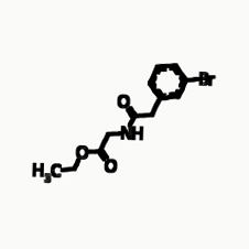 CCOC(=O)CNC(=O)Cc1cccc(Br)c1